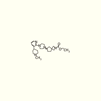 CCOC(=O)N1CC2(CC[C@@H](N3CCN(c4ncccc4C4CCN(C)CC4)CC3)C2)C1